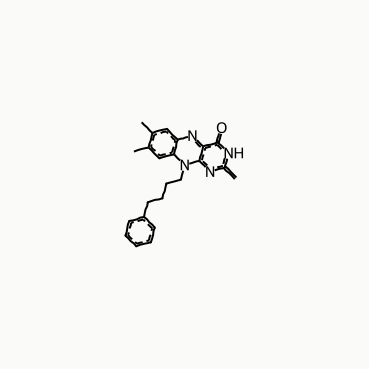 C=c1nc2c(c(=O)[nH]1)=Nc1cc(C)c(C)cc1N2CCCCc1ccccc1